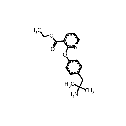 CCOC(=O)c1cccnc1Oc1ccc(CC(C)(C)N)cc1